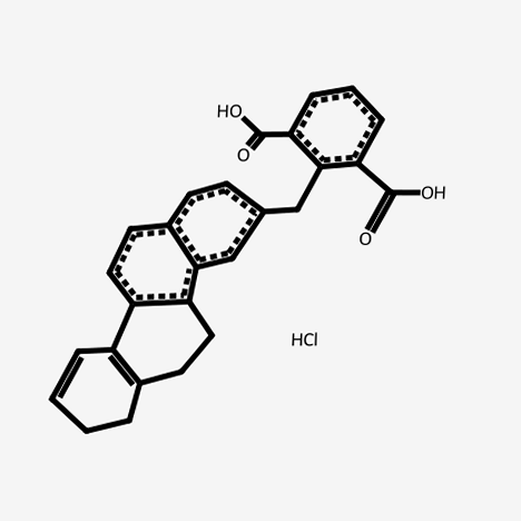 Cl.O=C(O)c1cccc(C(=O)O)c1Cc1ccc2ccc3c(c2c1)CCC1=C3C=CCC1